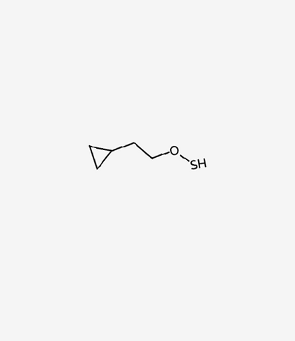 SOCCC1CC1